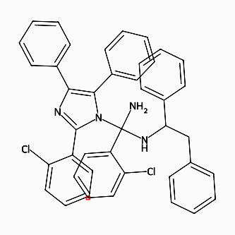 NC(NC(Cc1ccccc1)c1ccccc1)(c1ccccc1Cl)n1c(-c2ccccc2Cl)nc(-c2ccccc2)c1-c1ccccc1